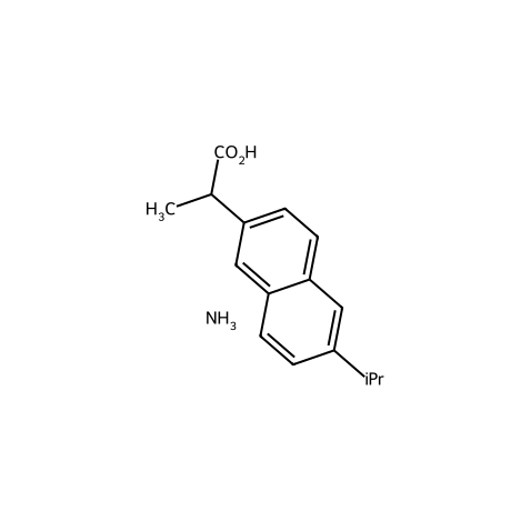 CC(C)c1ccc2cc(C(C)C(=O)O)ccc2c1.N